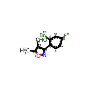 Cc1onc(-c2ccc(F)cc2Br)c1C=O